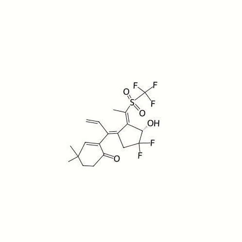 C=C/C(C1=CC(C)(C)CCC1=O)=C1/CC(F)(F)[C@@H](O)/C1=C(/C)S(=O)(=O)C(F)(F)F